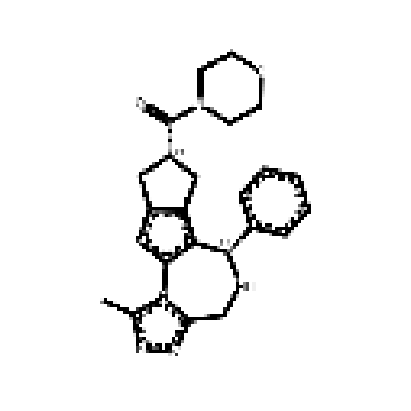 Cc1nnc2n1-c1sc3c(c1[C@@H](c1ccccc1)NC2)C[C@@H](C(=O)N1CCOCC1)C3